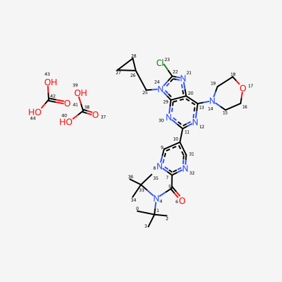 CC(C)(C)N(C(=O)c1ncc(-c2nc(N3CCOCC3)c3nc(Cl)n(CC4CC4)c3n2)cn1)C(C)(C)C.O=C(O)O.O=C(O)O